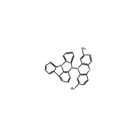 CC(C)(C)c1ccc2c(c1)N(B1c3ccccc3-n3c4ccccc4c4cccc1c43)c1cc(C(C)(C)C)ccc1S2